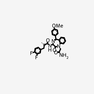 COc1ccc(C2=NC(NC(=O)[C@@H](C)Cc3ccc(F)c(F)c3)C(=O)N(CC(N)=O)c3ccccc32)cc1